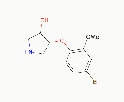 COc1cc(Br)ccc1OC1CNCC1O